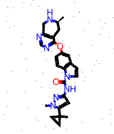 C[C@H]1Cc2c(ncnc2Oc2ccc3c(ccn3C(=O)Nc3cc(C4(C)CC4)n(C)n3)c2)CN1